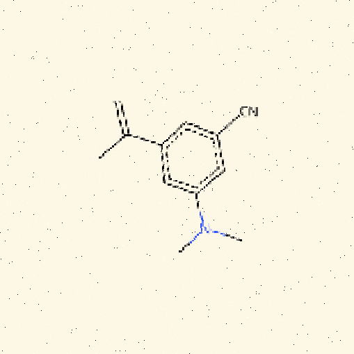 C=C(C)c1cc(C#N)cc(N(C)C)c1